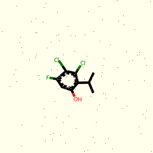 CC(C)c1c(O)cc(F)c(Cl)c1Cl